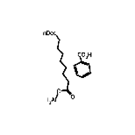 CCCCCCCCCCCCCCCCCC(=O)[O][AlH2].O=C(O)c1ccccc1